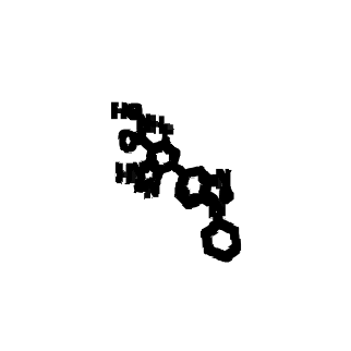 O=C(NO)c1c(F)cc(-c2ccc3c(c2)ncn3C2CCCCC2)c2nc[nH]c12